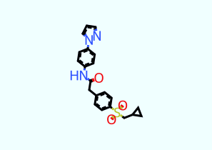 O=C(Cc1ccc(S(=O)(=O)CC2CC2)cc1)Nc1ccc(-n2cccn2)cc1